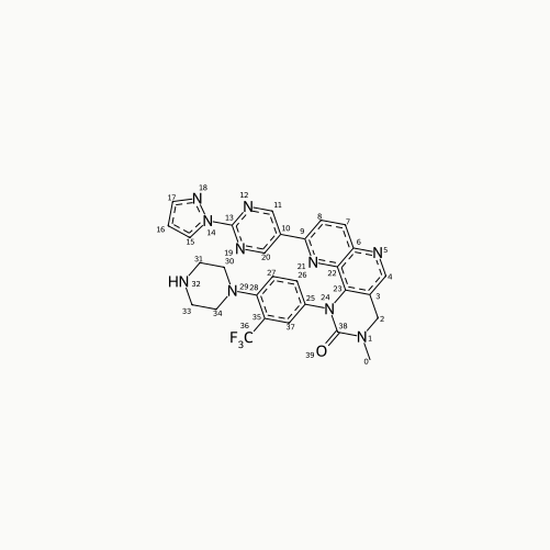 CN1Cc2cnc3ccc(-c4cnc(-n5cccn5)nc4)nc3c2N(c2ccc(N3CCNCC3)c(C(F)(F)F)c2)C1=O